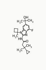 CC(C)(O)c1cc(F)c2nc(NC(=O)CC(C)(C)C3CC3)n(C3(C)CCC3)c2c1